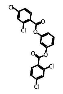 O=C(Oc1cccc(OC(=O)c2ccc(Cl)cc2Cl)c1)c1ccc(Cl)cc1Cl